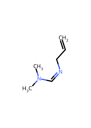 C=CC/N=C\N(C)C